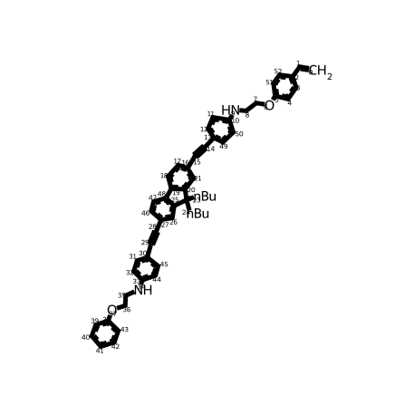 C=Cc1ccc(OCCNc2ccc(C#Cc3ccc4c(c3)C(CCCC)(CCCC)c3cc(C#Cc5ccc(NCCOc6ccccc6)cc5)ccc3-4)cc2)cc1